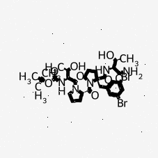 C[C@@H](O)[C@H](NC(=O)[C@@]1(Cc2cc(Br)cc(Br)c2)CCCN1C(=O)[C@@H]1CCCN1C(=O)[C@@H](NC(=O)OC(C)(C)C)[C@@H](C)O)C(N)=O